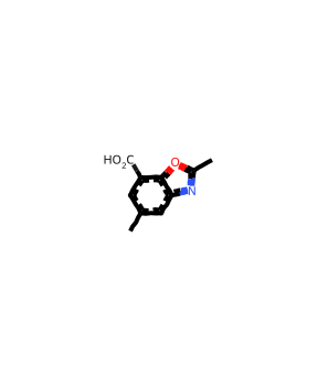 Cc1cc(C(=O)O)c2oc(C)nc2c1